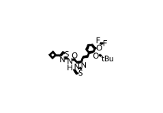 CC(C)(C)COc1c(C=Cc2nc3sccn3c2C(=O)Nc2nc(C3CCC3)cs2)cccc1OC(F)F